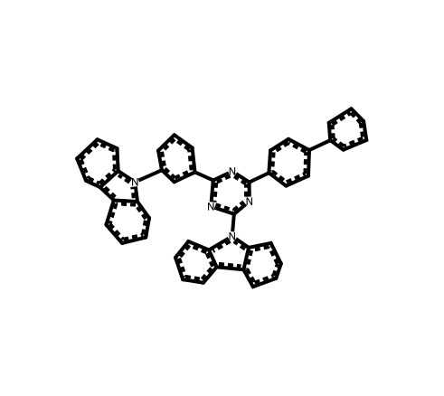 c1ccc(-c2ccc(-c3nc(-c4cccc(-n5c6ccccc6c6ccccc65)c4)nc(-n4c5ccccc5c5ccccc54)n3)cc2)cc1